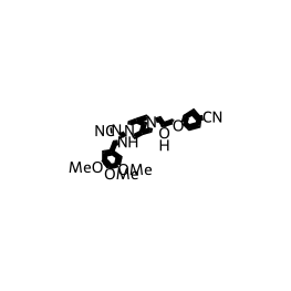 COc1cc(CN/C(=N\C#N)N2CC3CC(CN(CC(O)COc4ccc(C#N)cc4)C3)C2)cc(OC)c1OC